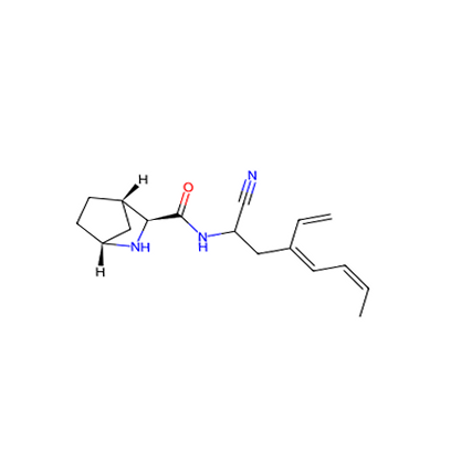 C=C/C(=C\C=C/C)CC(C#N)NC(=O)[C@H]1N[C@@H]2CC[C@H]1C2